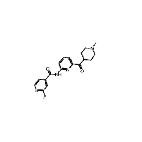 CN1CCC(C(=O)c2cccc(NC(=O)c3ccnc(F)c3)n2)CC1